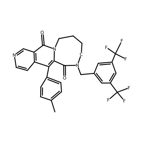 Cc1ccc(-c2c3n(c(=O)c4cnccc24)CCCCN(Cc2cc(C(F)(F)F)cc(C(F)(F)F)c2)C3=O)cc1